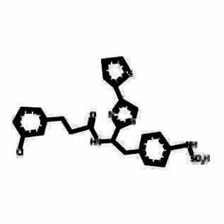 O=C(CCc1cccc(Cl)c1)NC(Cc1ccc(NS(=O)(=O)O)cc1)c1nc(-c2cccs2)cs1